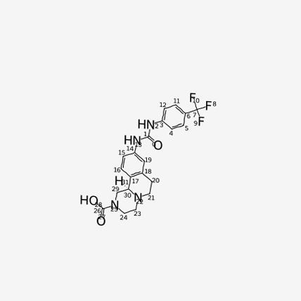 O=C(Nc1ccc(C(F)(F)F)cc1)Nc1ccc2c(c1)CCN1CCN(C(=O)O)C[C@@H]21